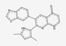 Cc1cc(C)c(-c2nc3[nH]ccc(=O)c3cc2-c2ccc3ncsc3c2)[nH]1